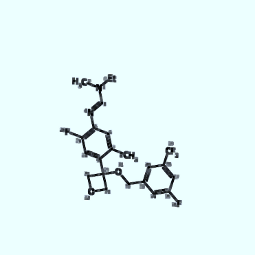 CCN(C)C=Nc1cc(C)c(C2(OCc3cc(F)cc(C(F)(F)F)c3)COC2)cc1F